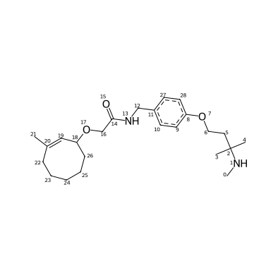 CNC(C)(C)CCOc1ccc(CNC(=O)COC2/C=C(/C)CCCCC2)cc1